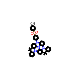 CC1(C)c2ccccc2N2c3cccc4c3N3c5c(ccc1c52)N1c2ccccc2C(C)(C)c2ccc(c3c21)N4c1ccc(S(=O)(=O)c2ccc(C#N)cc2)cc1